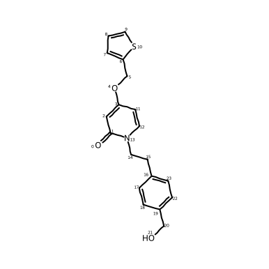 O=c1cc(OCc2cccs2)ccn1CCc1ccc(CO)cc1